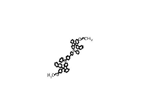 C=CCOc1ccc(C2(c3ccc4ccccc4c3)c3ccccc3-c3ccc(N(c4ccccc4)c4ccc(-c5ccc(N(c6ccccc6)c6ccc7c(c6)C(c6ccc(OCC=C)cc6)(c6ccc8ccccc8c6)c6ccccc6-7)cc5)cc4)cc32)cc1